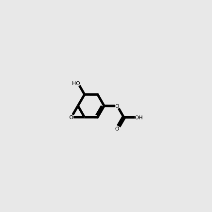 O=C(O)OC1=CC2OC2C(O)C1